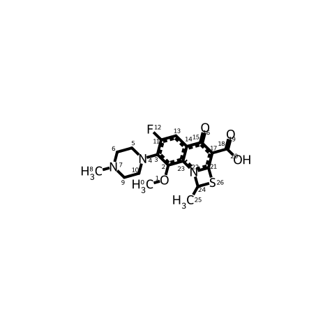 COc1c(N2CCN(C)CC2)c(F)cc2c(=O)c(C(=O)O)c3n(c12)C(C)S3